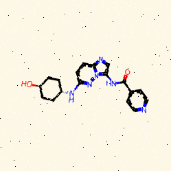 O=C(Nc1cnc2ccc(N[C@H]3CC[C@H](O)CC3)nn12)c1ccncc1